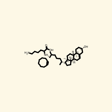 C1#CCCCCCC1.CC(C)CCCC(C)[C@H]1CC[C@H]2[C@@H]3CC=C4C[C@@H](O)CC[C@]4(C)[C@H]3CC[C@]12C.NCCCCC(N)C(=O)O